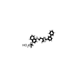 Cc1oc(-c2cccc(-c3ccccc3)c2)nc1CCOc1ccc(OC(C)(C)C(=O)O)c2c1CCCC2